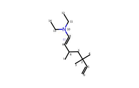 C=CC(C)(C)CC(C)/C=C/N(CC)CC